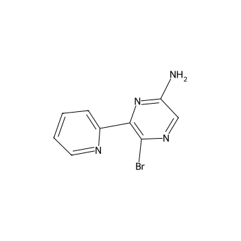 Nc1cnc(Br)c(-c2ccccn2)n1